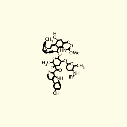 CC#C/C=C\C#C[C@H](OC1OC(C)C(F)(C(=O)c2nccc3c2[nH]c2ccc(O)cc23)CC1OC1CCC(NC(C)C)C(C)O1)C1=C(NC(=O)OC)C(=O)C[C@H](O)/C1=C/CS(C)=S